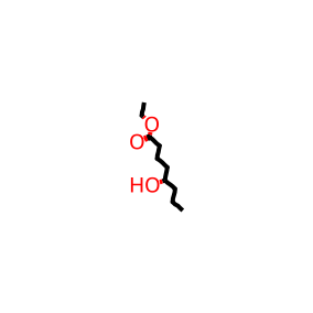 CCCC(O)CCCC(=O)OCC